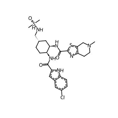 CN1CCc2nc(C(=O)N[C@@H]3C[C@@H](CN[SH](C)(C)=O)CC[C@@H]3NC(=O)c3cc4cc(Cl)ccc4[nH]3)sc2C1